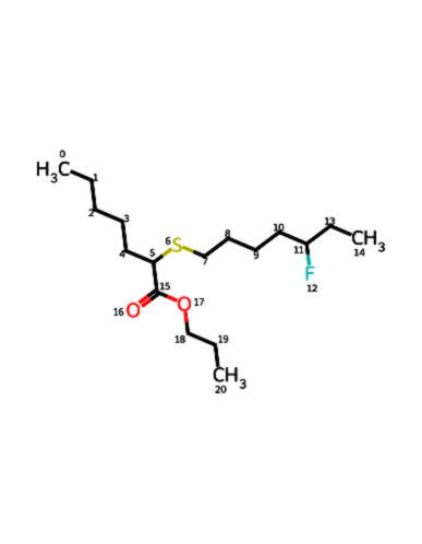 CCCCCC(SCCCCC(F)CC)C(=O)OCCC